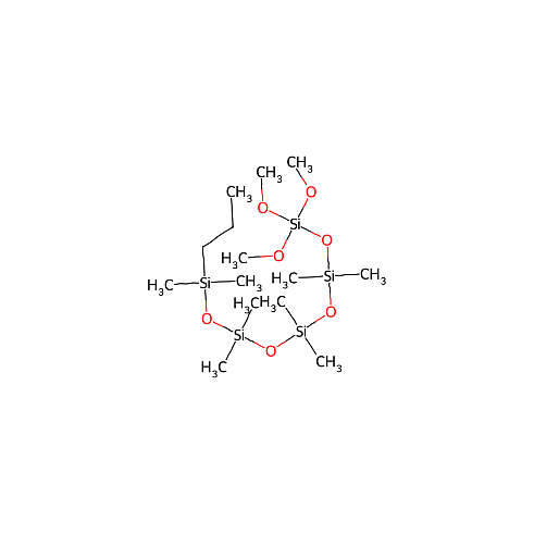 CCC[Si](C)(C)O[Si](C)(C)O[Si](C)(C)O[Si](C)(C)O[Si](OC)(OC)OC